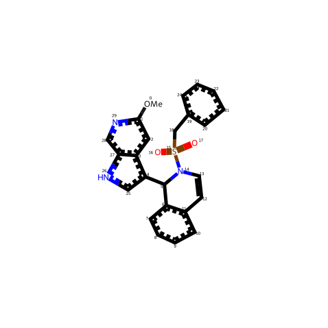 COc1cc2c(C3c4ccccc4C=CN3S(=O)(=O)Cc3ccccc3)c[nH]c2cn1